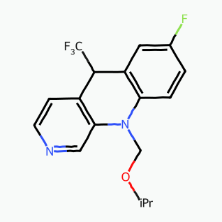 CC(C)OCN1c2ccc(F)cc2C(C(F)(F)F)c2ccncc21